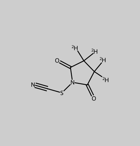 [2H]C1([2H])C(=O)N(SC#N)C(=O)C1([2H])[2H]